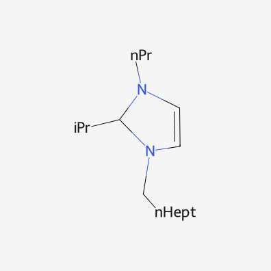 CCCCCCCCN1C=CN(CCC)C1C(C)C